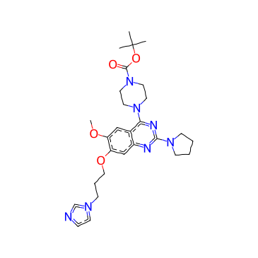 COc1cc2c(N3CCN(C(=O)OC(C)(C)C)CC3)nc(N3CCCC3)nc2cc1OCCCn1ccnc1